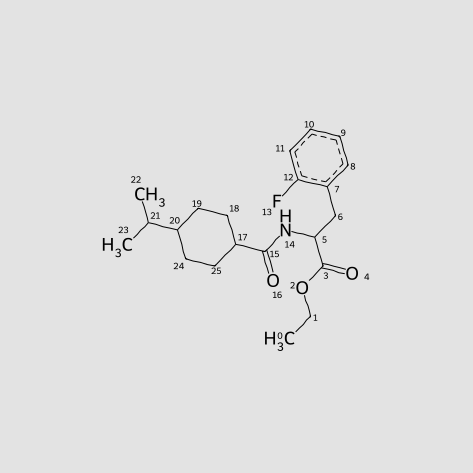 CCOC(=O)C(Cc1ccccc1F)NC(=O)C1CCC(C(C)C)CC1